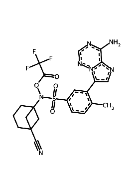 Cc1ccc(S(=O)(=O)N(OC(=O)C(F)(F)F)C23CCCC(C#N)(C2)C3)cc1-c1cnc2c(N)ncnn12